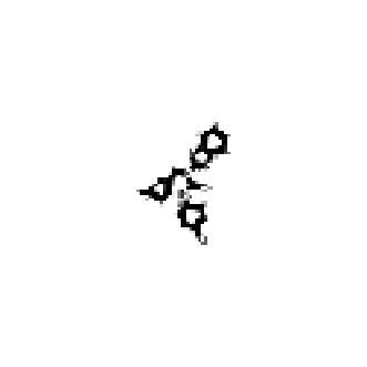 Cc1ccc(CN(C(=O)Nc2ccc(Cl)cc2)c2nc3ccccc3s2)o1